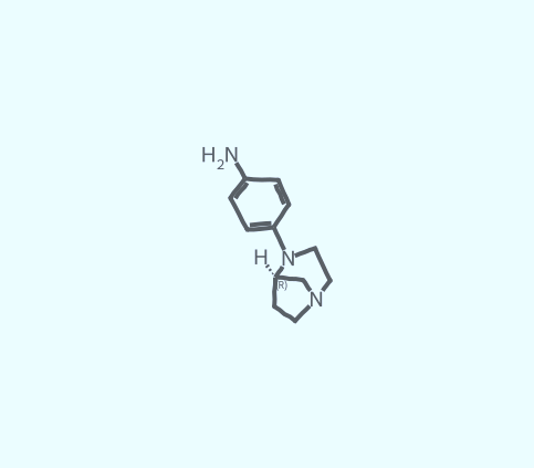 Nc1ccc(N2CCN3CC[C@@H]2C3)cc1